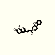 O=C1CCc2cc(C=CC(=O)N3CCC4c5ccccc5OC4C3)cnc2N1